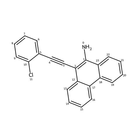 Nc1c(C#Cc2ccccc2Cl)c2ccccc2c2ccccc12